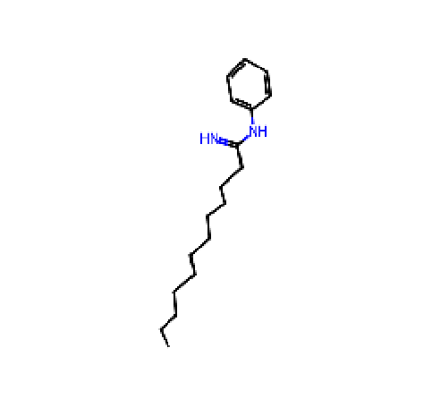 CCCCCCCCCCCC(=N)Nc1ccccc1